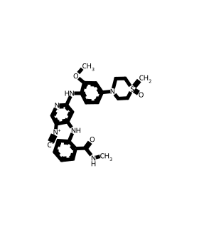 [C-]#[N+]c1cnc(Nc2ccc(N3CCS(=C)(=O)CC3)cc2OC)cc1Nc1ccccc1C(=O)NC